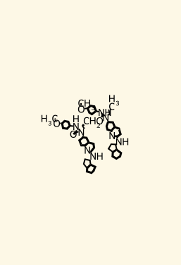 C=CCN(C(=O)Nc1ccc(OC)cc1)c1ccc2nc(N[C@@H]3CCc4ccccc43)ccc2c1.CCCN(C(=O)Nc1ccc(OC)cc1)c1ccc2nc(N[C@@H]3CCc4ccccc43)ccc2c1